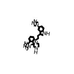 Cn1nnc(-c2ccccc2C2(C)CNCCN2CCCc2c[nH]c3ccc(-n4cnnc4)cc23)n1